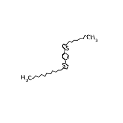 CCCCCCCCCCCCc1ccc(-c2ccc(-c3ccc(CCCCCCCC)s3)cc2)s1